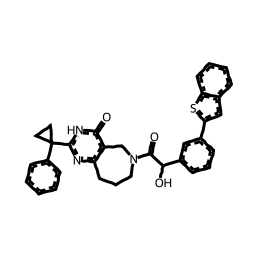 O=C(C(O)c1cccc(-c2cc3ccccc3s2)c1)N1CCCc2nc(C3(c4ccccc4)CC3)[nH]c(=O)c2C1